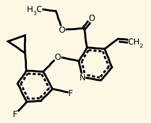 C=Cc1ccnc(Oc2c(F)cc(F)cc2C2CC2)c1C(=O)OCC